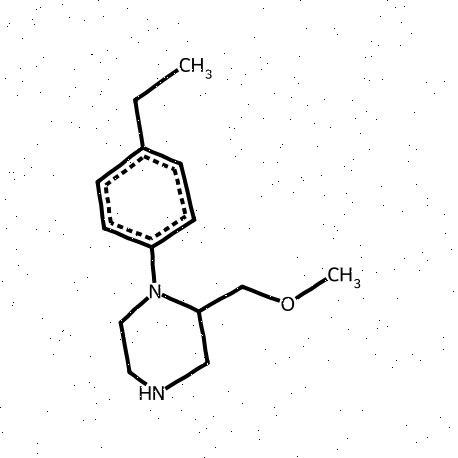 CCc1ccc(N2CCNCC2COC)cc1